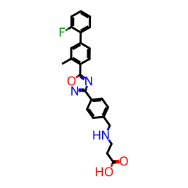 Cc1cc(-c2ccccc2F)ccc1-c1nc(-c2ccc(CNCCC(=O)O)cc2)no1